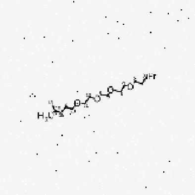 CC(C)CCOCCOCCOCCOCCCC(C)I